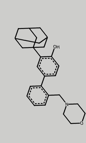 Oc1ccc(-c2ccccc2CN2CCOCC2)cc1C12CC3CC(CC(C3)C1)C2